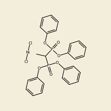 CC(P(=O)(Oc1ccccc1)Oc1ccccc1)P(=O)(Oc1ccccc1)Oc1ccccc1.[Cl][Ni][Cl]